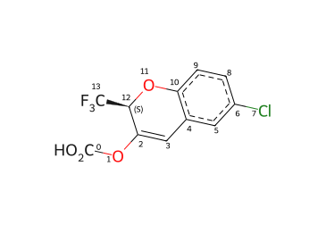 O=C(O)OC1=Cc2cc(Cl)ccc2O[C@@H]1C(F)(F)F